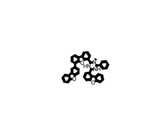 CN1C(c2ccccc2)NC(c2cccc3oc4ccccc4c23)NC1c1cccc2c1oc1c(-c3ccc4oc5ccccc5c4c3)cccc12